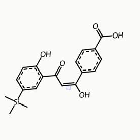 C[Si](C)(C)c1ccc(O)c(C(=O)/C=C(/O)c2ccc(C(=O)O)cc2)c1